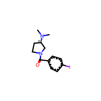 CN(C)[C@@H]1CCN(C(=O)c2ccc(I)cc2)C1